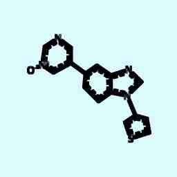 [O-][n+]1cncc(-c2ccc3c(c2)ncn3-c2ccsc2)c1